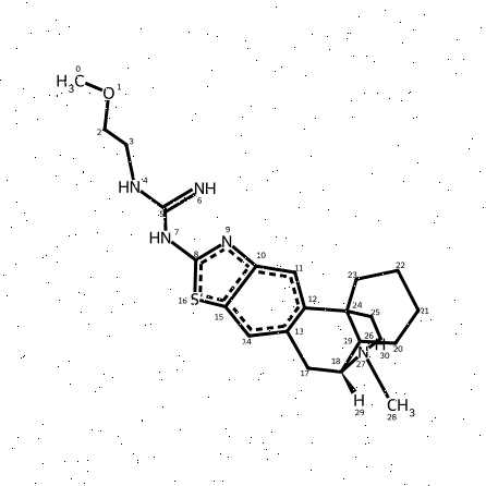 COCCNC(=N)Nc1nc2cc3c(cc2s1)C[C@@H]1[C@@H]2CCCCC32CCN1C